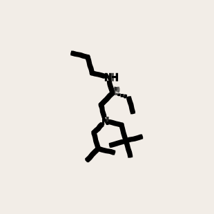 CCCN[C@H](CC)CN(CC(C)C)CC(C)(C)C